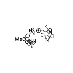 COc1ccc(-c2noc(C34CCC(/C=C/c5c(-c6c(Cl)cncc6Cl)noc5C5CC5)(CC3)CC4)n2)cc1C(=O)NS(=O)(=O)C1CC1